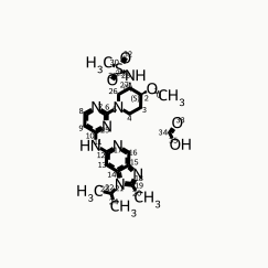 CO[C@H]1CCN(c2nccc(Nc3cc4c(cn3)nc(C)n4C(C)C)n2)C[C@@H]1NS(C)(=O)=O.O=CO